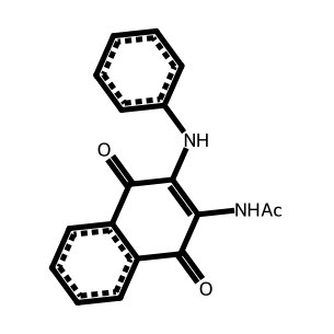 CC(=O)NC1=C(Nc2ccccc2)C(=O)c2ccccc2C1=O